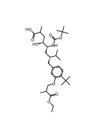 CCOC(=O)C(C)COc1cc(C[C@@H](C[C@H](NC(=O)OC(C)(C)C)[C@@H](O)CC(C)C(=O)O)C(C)C)ccc1C(C)(C)C